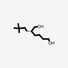 CC(C)(C)CC[C@H](CO)CCCCO